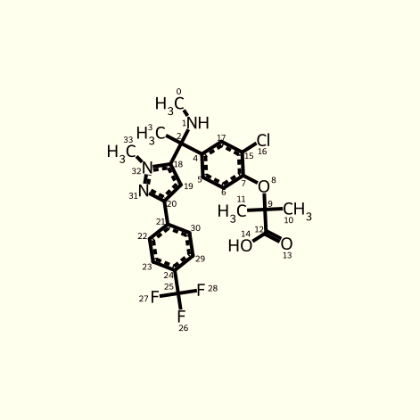 CNC(C)(c1ccc(OC(C)(C)C(=O)O)c(Cl)c1)c1cc(-c2ccc(C(F)(F)F)cc2)nn1C